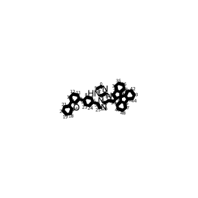 C1=Nc2c(n3c(-c4ccc(-c5cccc6c5oc5ccccc56)cc4)cnc3c3cc4c(n23)-c2ccccc2C42c3ccccc3-c3ccccc32)NC1